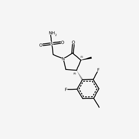 Cc1cc(F)c([C@@H]2CN(CS(N)(=O)=O)C(=O)[C@H]2C)c(F)c1